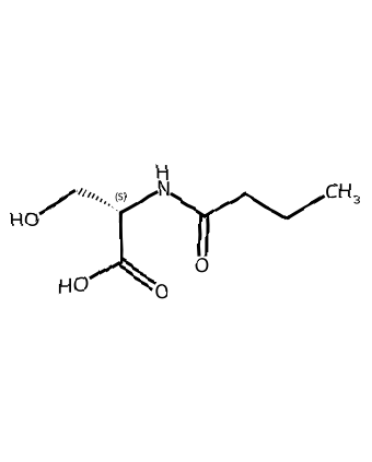 CCCC(=O)N[C@@H](CO)C(=O)O